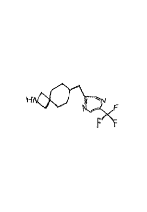 FC(F)(F)c1cnc(CC2CCC3(CC2)CNC3)cn1